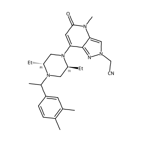 CC[C@H]1CN(C(C)c2ccc(C)c(C)c2)[C@H](CC)CN1c1cc(=O)n(C)c2cn(CC#N)nc12